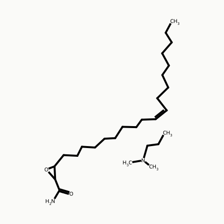 CCCCCCCC/C=C\CCCCCCCCCC1OC1C(N)=O.CCCN(C)C